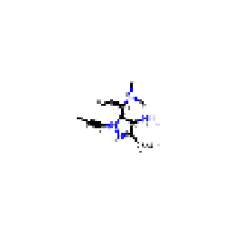 CC#CN1N=C(OC)C(N)C1/C(=C\C)N(C)C